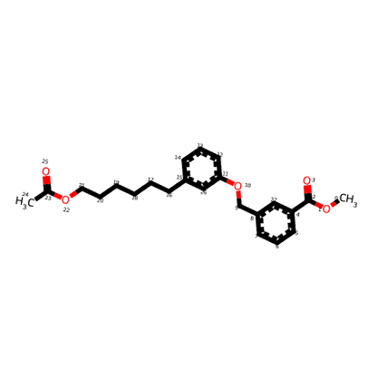 COC(=O)c1cccc(COc2cccc(CCCCCCOC(C)=O)c2)c1